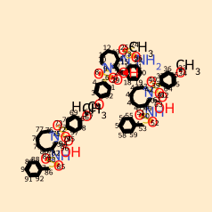 COc1ccc(S(=O)(=O)N2CCCCC(N(c3ccccc3N)S(C)(=O)=O)C2C(=O)O)cc1.COc1ccc(S(=O)(=O)N2CCCCC[C@@H](NS(=O)(=O)Cc3ccccc3)[C@H]2C(=O)O)cc1.COc1ccc(S(=O)(=O)N2CCCCC[C@H](NS(=O)(=O)Cc3ccccc3)[C@H]2C(=O)O)cc1